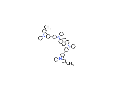 Cc1ccc2c(c1)c1cc(-c3ccc(N(c4ccccc4)c4ccc5ccc6c(N(c7ccccc7)c7ccc(-c8ccc9c(c8)c8cc(C)ccc8n9-c8ccccc8)cc7)ccc7ccc4c5c76)cc3)ccc1n2-c1ccccc1